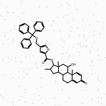 CC1CC2C3CCC4=CC(=O)C=CC4(C)C3C(O)CC2(C)C1OC(=O)c1cc(COC(c2ccccc2)(c2ccccc2)c2ccccc2)co1